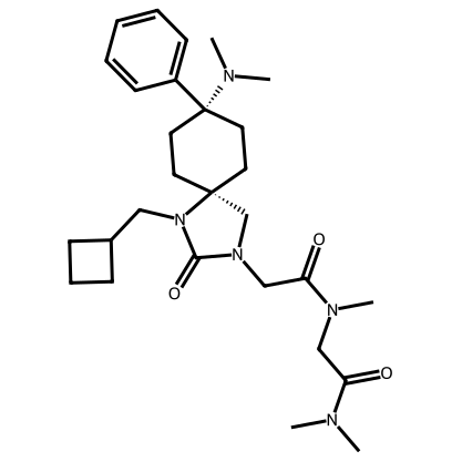 CN(C)C(=O)CN(C)C(=O)CN1C[C@]2(CC[C@@](c3ccccc3)(N(C)C)CC2)N(CC2CCC2)C1=O